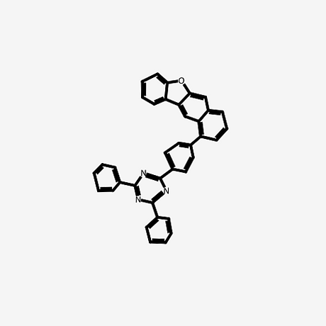 c1ccc(-c2nc(-c3ccccc3)nc(-c3ccc(-c4cccc5cc6oc7ccccc7c6cc45)cc3)n2)cc1